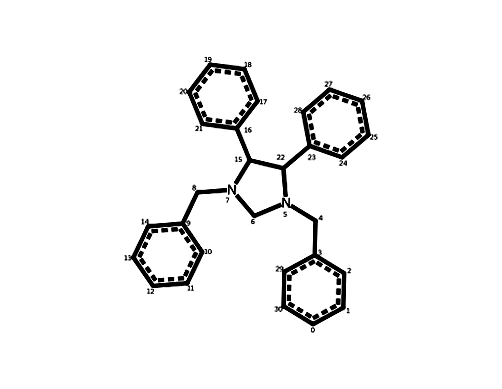 c1ccc(CN2CN(Cc3ccccc3)C(c3ccccc3)C2c2ccccc2)cc1